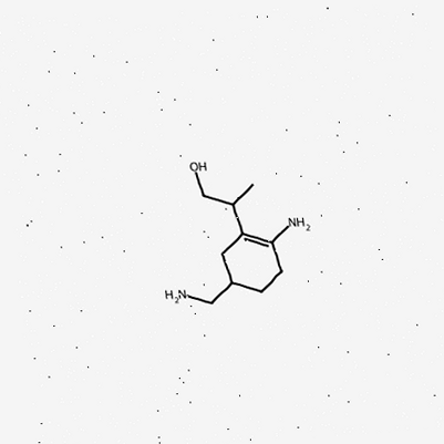 CC(CO)C1=C(N)CCC(CN)C1